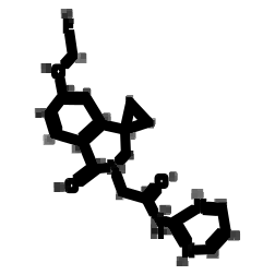 O=C(CN1CC2(CC2)c2cc(OCF)ccc2C1=O)Nc1ncccn1